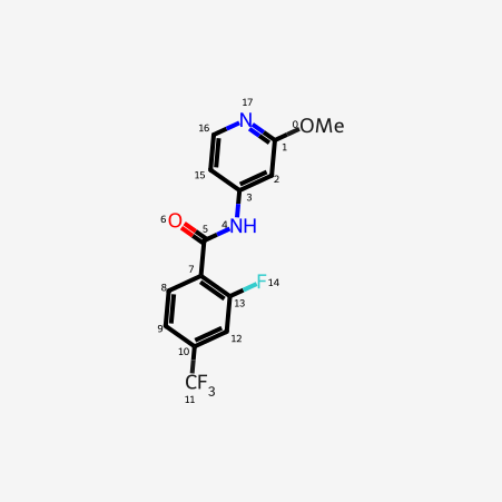 COc1cc(NC(=O)c2ccc(C(F)(F)F)cc2F)ccn1